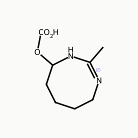 C/C1=N/CCCCC(OC(=O)O)N1